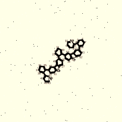 c1ccc(-c2ccccc2-c2ccc3sc4ccc(-c5ccccc5-c5ccc6sc7ccc(-c8ccccc8-c8cccnc8)cc7c6c5)cc4c3c2)nc1